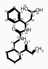 C=CC(=O)N1CCCC[C@H]1CNC(=O)N[C@H](CB(O)O)c1ccccc1